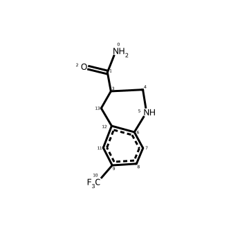 NC(=O)C1CNc2ccc(C(F)(F)F)cc2C1